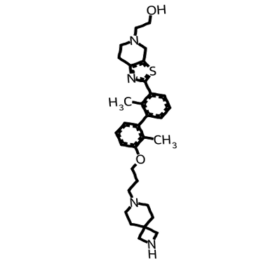 Cc1c(OCCCN2CCC3(CC2)CNC3)cccc1-c1cccc(-c2nc3c(s2)CN(CCO)CC3)c1C